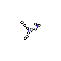 Cc1cc(-c2cccc(-n3c4ccccc4c4ccccc43)c2)cc(C)c1N(c1ccc(-c2ccc(-c3ccccc3)cc2)cc1)c1ccc(-c2ccc3ccccc3c2)cc1